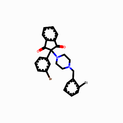 CCc1ccccc1CN1CCN(C2(c3cccc(Br)c3)C(=O)c3ccccc3C2=O)CC1